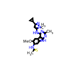 COc1cc2c(cc1NC(C)=S)[nH]c1nc(C)nc(Nc3cc(C4CC4)nn3C)c12